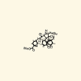 COC(=O)c1ccc(CNC(=O)C2NC(CC(C)(C)C)C(C#N)(c3ccc(Cl)cc3F)C2c2cccc(Cl)c2F)cn1